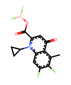 Cc1c(F)c(F)cc2c1c(=O)cc(C(=O)OB(F)F)n2C1CC1